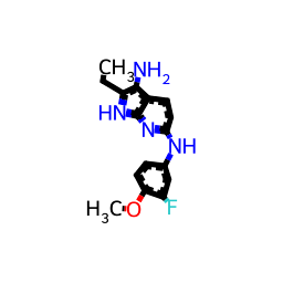 CCc1[nH]c2nc(Nc3ccc(OC)c(F)c3)ccc2c1N